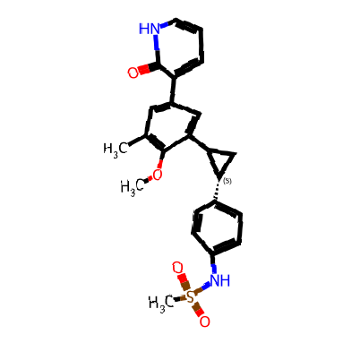 COc1c(C)cc(-c2ccc[nH]c2=O)cc1C1C[C@@H]1c1ccc(NS(C)(=O)=O)cc1